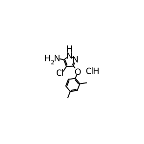 Cc1ccc(Oc2n[nH]c(N)c2Cl)c(C)c1.Cl